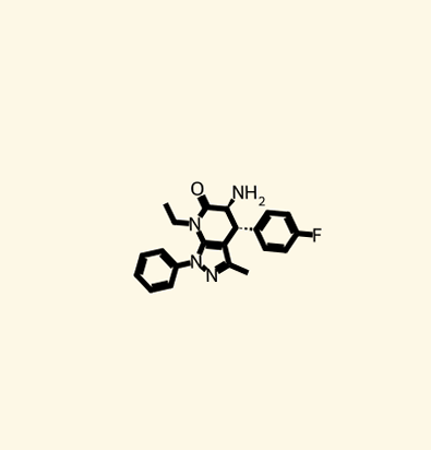 CCN1C(=O)[C@@H](N)[C@H](c2ccc(F)cc2)c2c(C)nn(-c3ccccc3)c21